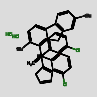 Cl.Cl.[CH2]=[Hf]([C]1=CC=CC1)([c]1cccc(Cl)c1)([c]1cccc(Cl)c1)[c]1c(C(C)(C)C)ccc2c1Cc1cc(C(C)(C)C)ccc1-2